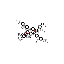 N#Cc1cc(C(F)(F)F)ccc1-c1ccc(-n2c3ccc(-c4ccc(C(F)(F)F)cc4C(F)(F)F)cc3c3cc(-c4ccc(C(F)(F)F)cc4C(F)(F)F)ccc32)c(-c2c(C#N)cccc2-n2c3ccc(-c4ccc(C(F)(F)F)cc4C(F)(F)F)cc3c3cc(-c4ccc(C(F)(F)F)cc4C(F)(F)F)ccc32)c1